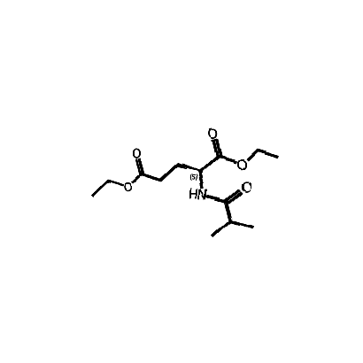 CCOC(=O)CC[C@H](NC(=O)C(C)C)C(=O)OCC